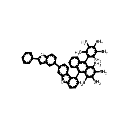 Bc1c(B)c(B)c(-c2c3ccccc3c(-c3cccc4oc5cc(-c6ccc7oc(-c8ccccc8)cc7c6)ccc5c34)c3c(B)c(B)c(B)c(B)c23)c(B)c1B